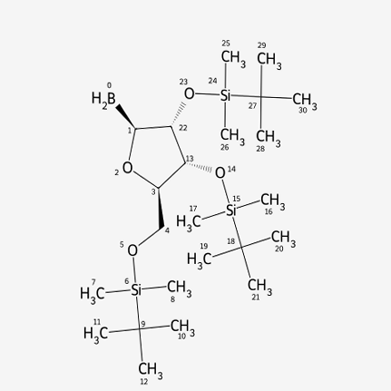 B[C@@H]1O[C@H](CO[Si](C)(C)C(C)(C)C)[C@@H](O[Si](C)(C)C(C)(C)C)[C@H]1O[Si](C)(C)C(C)(C)C